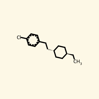 CC[C@H]1CC[C@H](CCc2ccc(Cl)cc2)CC1